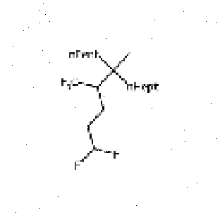 CCCCCCCC(C)(CCCCC)C(CCC(F)F)C(F)(F)F